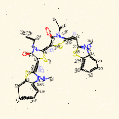 CCn1c(=O)/c(=c2/s/c(=C3/Sc4ccccc4N3C)c(=O)n2CC)s/c1=C\c1sc2ccccc2[n+]1C